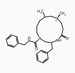 CC1CCCN(C(=O)NCc2ccccc2)CC(Cc2ccccc2)NC(=O)CC[C@H](C)C1